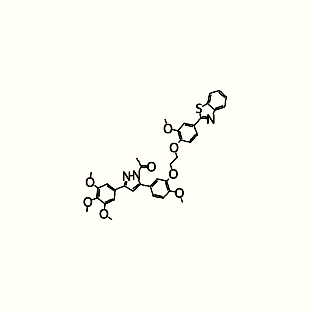 COc1cc(-c2nc3ccccc3s2)ccc1OCCOc1cc(-c2cc(-c3cc(OC)c(OC)c(OC)c3)nn2C(C)=O)ccc1OC